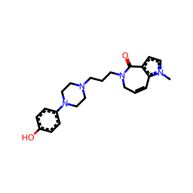 Cn1ccc2c1C=CCN(CCCN1CCN(c3ccc(O)cc3)CC1)C2=O